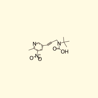 Cc1ncc(C#CCN(C(=O)O)C(C)(C)C)cc1[N+](=O)[O-]